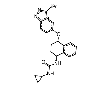 CC(C)c1nnc2ccc(O[C@H]3CC[C@H](NC(=O)NC4CC4)c4ccccc43)cn12